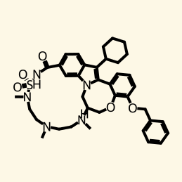 CN1CCN(C)[C@H]2COc3c(OCc4ccccc4)cccc3-c3c(C4CCCCC4)c4ccc(cc4n3C2)C(=O)NS(=O)(=O)N(C)CC1